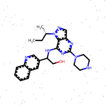 CC[C@H](C)n1ncc2nc(N3CCNCC3)nc(NC(CO)c3cnc4ccccc4c3)c21